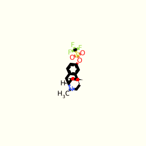 CN1CC[C@@]23CCCCC2[C@@H]1Cc1ccc(OS(=O)(=O)C(F)(F)F)cc13